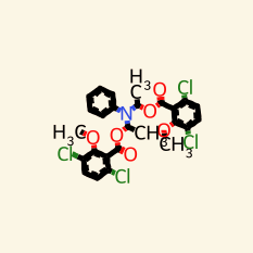 COc1c(Cl)ccc(Cl)c1C(=O)OC(C)N(c1ccccc1)C(C)OC(=O)c1c(Cl)ccc(Cl)c1OC